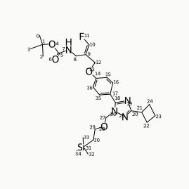 CC(C)(C)OC(=O)NC/C(=C\F)COc1ccc(-c2nc(C3CCC3)nn2COCC[Si](C)(C)C)cc1